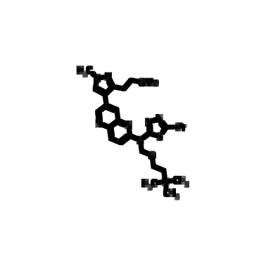 COCCc1nn(C)cc1-c1cnc2ccc(N(COCC[Si](C)(C)C)c3nnc(C(C)C)s3)nc2c1